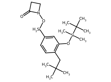 CC(C)(C)Cc1ccc([SiH2]ON2CCC2=O)cc1O[Si](C)(C)C(C)(C)C